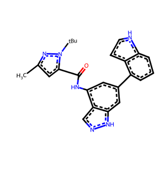 Cc1cc(C(=O)Nc2cc(-c3cccc4[nH]ccc34)cc3[nH]ncc23)n(C(C)(C)C)n1